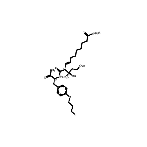 CCCCCCCC(=O)CCCCCCC=C[C@H](C(=O)N[C@@H](Cc1ccc(OCCCF)cc1)C(N)=O)[C@@](O)(CCOC)C(=O)O